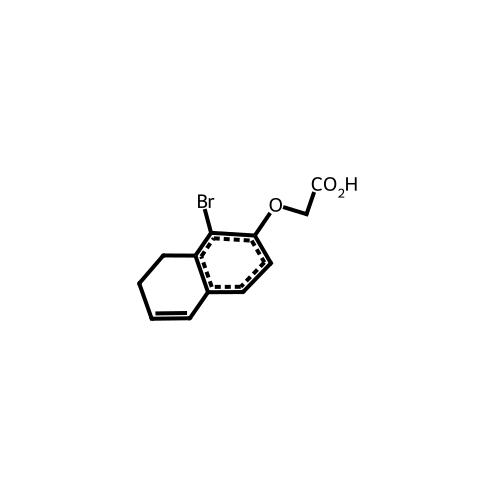 O=C(O)COc1ccc2c(c1Br)CCC=C2